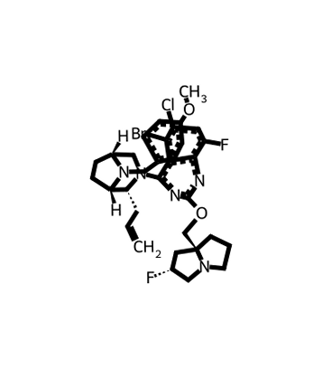 C=CC[C@@H]1[C@@H]2CC[C@H](CN1c1nc(OC[C@@]34CCCN3C[C@H](F)C4)nc3c(F)cc(Cl)c(Br)c13)N2Cc1ccc(OC)cc1